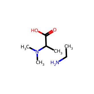 CC(C(=O)O)N(C)C.CCN